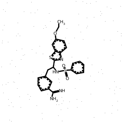 CCOc1ccc2nc(C(Cc3cccc(C(=N)N)c3)NS(=O)(=O)c3ccccc3)sc2c1